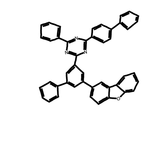 c1ccc(-c2ccc(-c3nc(-c4ccccc4)nc(-c4cc(-c5ccccc5)cc(-c5ccc6oc7ccccc7c6c5)c4)n3)cc2)cc1